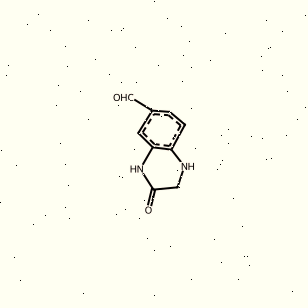 O=Cc1ccc2c(c1)NC(=O)CN2